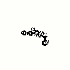 Clc1cc2[nH]c(C3CC3c3ccccn3)nc2nc1-c1ccc(N2CCOCC2)cc1